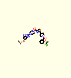 COc1ccc2[nH]c(N3CCN(C(=O)c4csc(C5CCN(C(=O)c6ccccc6OC(F)(F)F)CC5)n4)CC3)nc2c1